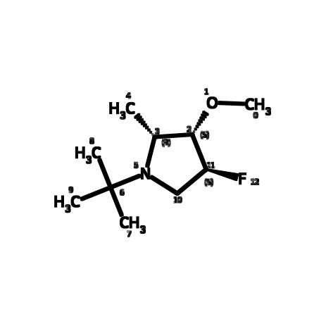 CO[C@H]1[C@@H](C)N(C(C)(C)C)C[C@@H]1F